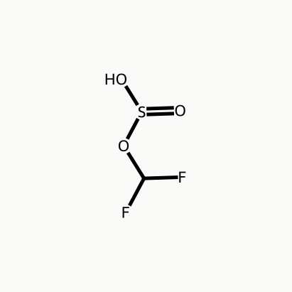 O=S(O)OC(F)F